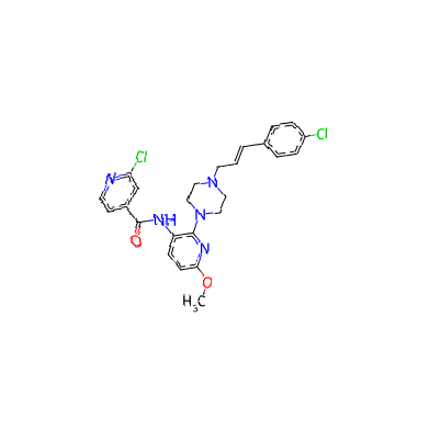 COc1ccc(NC(=O)c2ccnc(Cl)c2)c(N2CCN(C/C=C/c3ccc(Cl)cc3)CC2)n1